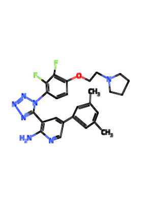 Cc1cc(C)cc(-c2cnc(N)c(-c3nnnn3-c3ccc(OCCN4CCCC4)c(F)c3F)c2)c1